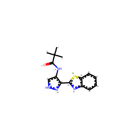 CC(C)(C)C(=O)Nc1c[nH]nc1-c1nc2ccccc2s1